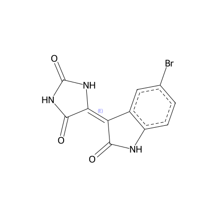 O=C1NC(=O)/C(=C2\C(=O)Nc3ccc(Br)cc32)N1